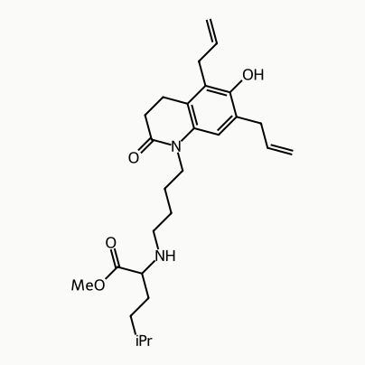 C=CCc1cc2c(c(CC=C)c1O)CCC(=O)N2CCCCNC(CCC(C)C)C(=O)OC